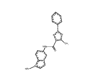 CCCn1ccc2cc(NC(=O)c3nn(-c4ccccc4)nc3C)ccc21